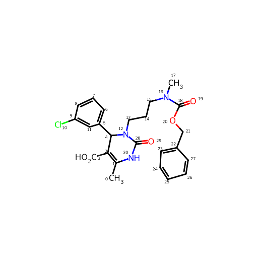 CC1=C(C(=O)O)C(c2cccc(Cl)c2)N(CCCN(C)C(=O)OCc2ccccc2)C(=O)N1